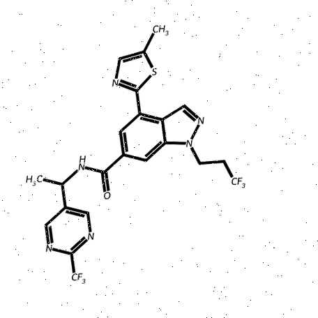 Cc1cnc(-c2cc(C(=O)NC(C)c3cnc(C(F)(F)F)nc3)cc3c2cnn3CCC(F)(F)F)s1